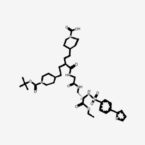 CCOC(=O)[C@H](CNC(=O)CNC(=O)C(CCC1CCN(C(=O)O)CC1)CCC1CCN(C(=O)OC(C)(C)C)CC1)NS(=O)(=O)c1ccc(-c2cccs2)cc1